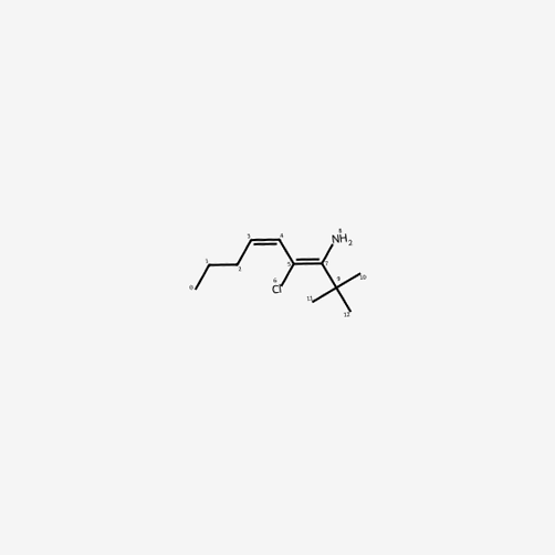 CCC/C=C\C(Cl)=C(/N)C(C)(C)C